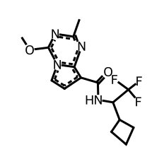 COc1nc(C)nc2c(C(=O)NC(C3CCC3)C(F)(F)F)ccn12